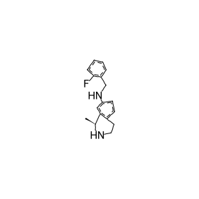 C[C@@H]1CNCCc2ccc(NCc3ccccc3F)cc21